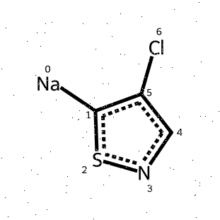 [Na][c]1sncc1Cl